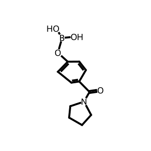 O=C(c1ccc(OB(O)O)cc1)N1CCCC1